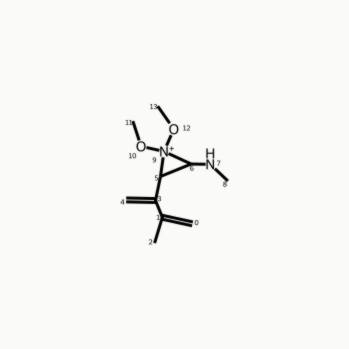 C=C(C)C(=C)C1C(NC)[N+]1(OC)OC